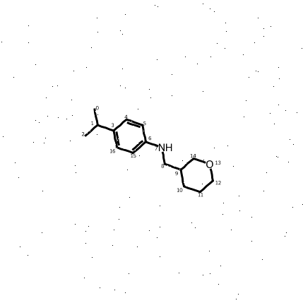 CC(C)c1ccc(NCC2CCCOC2)cc1